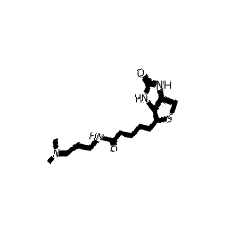 CN(C)CCCNC(=O)CCCCC1SCC2NC(=O)NC21